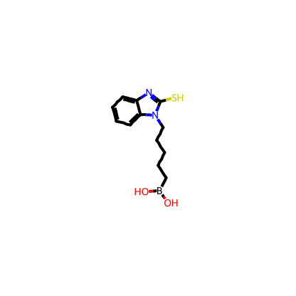 OB(O)CCCCCn1c(S)nc2ccccc21